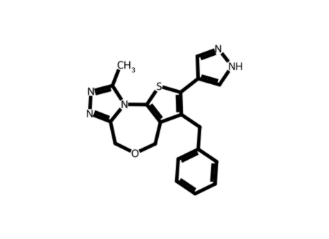 Cc1nnc2n1-c1sc(-c3cn[nH]c3)c(Cc3ccccc3)c1COC2